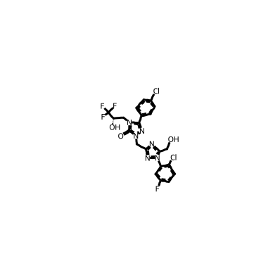 O=c1n(Cc2nc(CO)n(-c3cc(F)ccc3Cl)n2)nc(-c2ccc(Cl)cc2)n1C[C@H](O)C(F)(F)F